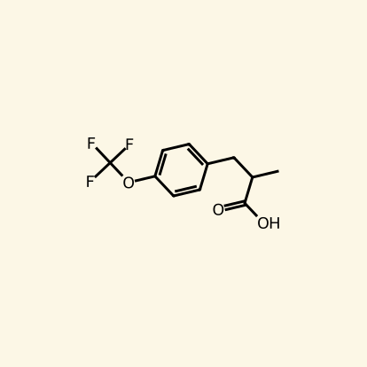 CC(Cc1ccc(OC(F)(F)F)cc1)C(=O)O